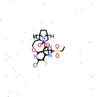 CCS(=O)(=O)c1nc2c3c(nc(Cl)c(F)c3n1)OCC[C@H]1[C@@H]3CC[C@H](CN21)N3C(=O)OC(C)(C)C